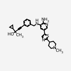 CN1CCC(c2ncc(-c3cnc(N)c(NCc4cccc(C#CC(C)(O)C5CC5)c4)c3)s2)CC1